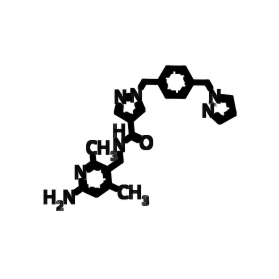 Cc1cc(N)nc(C)c1CNC(=O)c1cnn(Cc2ccc(Cn3cccn3)cc2)c1